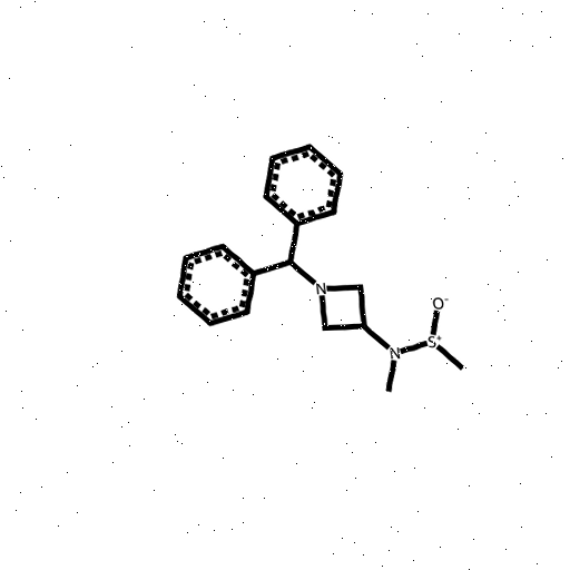 CN(C1CN(C(c2ccccc2)c2ccccc2)C1)[S+](C)[O-]